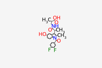 Cc1c([C@H](C)C(=O)NCC(C)C(=O)O)c2cc(O)ccc2n1C(=O)c1ccc(F)c(F)c1